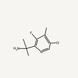 Cc1c(Cl)cnc(C(C)(C)N)c1F